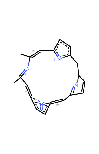 CC1=C\c2ccc([nH]2)CC2C=CC(=N2)/C=c2/cc\c([nH]2)=C/C(C)=N/1